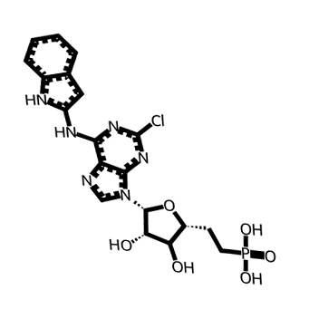 O=P(O)(O)CC[C@H]1O[C@@H](n2cnc3c(Nc4cc5ccccc5[nH]4)nc(Cl)nc32)[C@@H](O)C1O